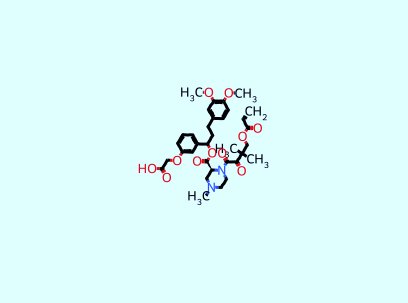 C=CC(=O)OCC(C)(C)C(=O)C(=O)N1CCN(C)C[C@H]1C(=O)OC(CCc1ccc(OC)c(OC)c1)c1cccc(OCC(=O)O)c1